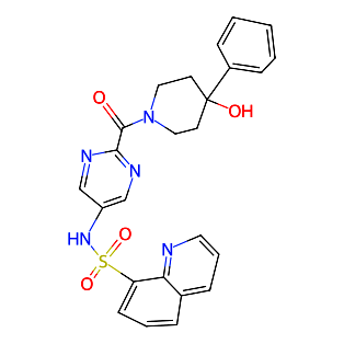 O=C(c1ncc(NS(=O)(=O)c2cccc3cccnc23)cn1)N1CCC(O)(c2ccccc2)CC1